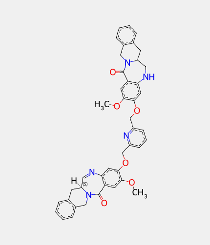 COc1cc2c(cc1OCc1cccc(COc3cc4c(cc3OC)C(=O)N3Cc5ccccc5CC3CN4)n1)N=C[C@@H]1Cc3ccccc3CN1C2=O